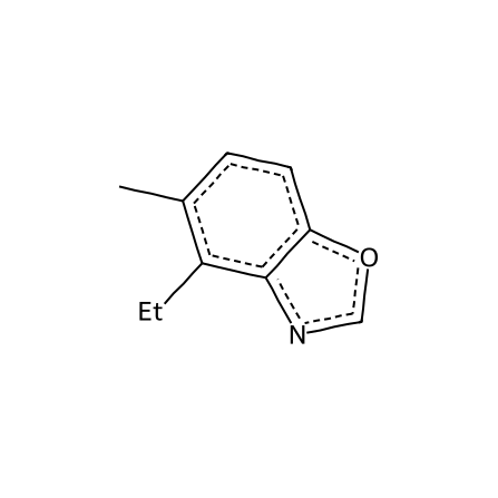 CCc1c(C)ccc2ocnc12